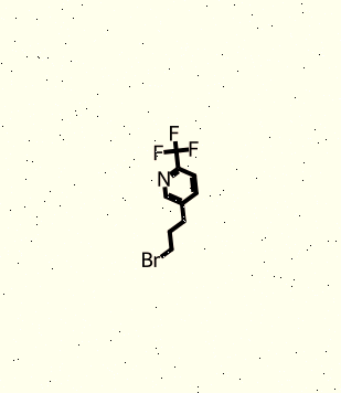 FC(F)(F)c1ccc(CCCBr)cn1